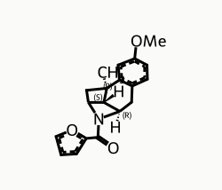 COc1ccc2c(c1)[C@]1(C)CC3[C@H]1[C@@H](C2)N3C(=O)c1ccco1